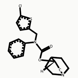 O=C(O[C@H]1CN2CCC1CC2)N(Cc1ccc(Cl)s1)c1ccccc1